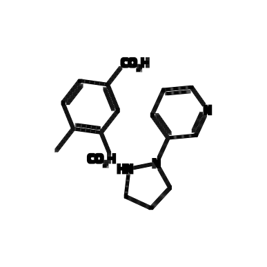 Cc1ccc(C(=O)O)cc1C(=O)O.c1cncc(N2CCCN2)c1